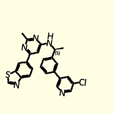 Cc1nc(N[C@@H](C)c2cccc(-c3cncc(Cl)c3)c2)cc(-c2ccc3ncsc3c2)n1